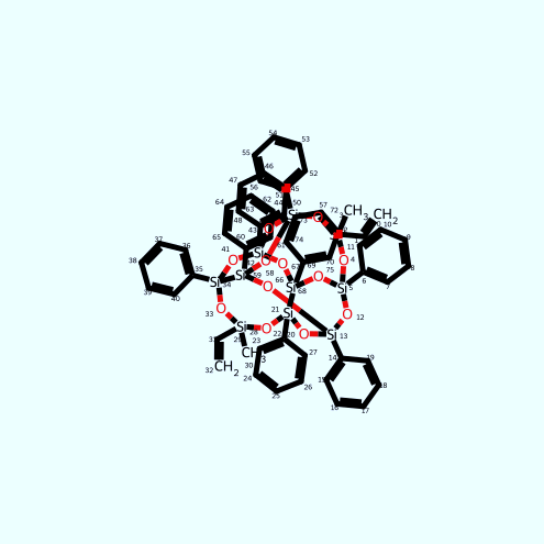 C=C[Si]1(C)O[Si]2(c3ccccc3)O[Si]3(c4ccccc4)O[Si]4(c5ccccc5)O[Si](C)(C=C)O[Si]5(c6ccccc6)O[Si](c6ccccc6)(O[Si](c6ccccc6)(O1)O[Si]5(c1ccccc1)O3)O[Si]4(c1ccccc1)O2